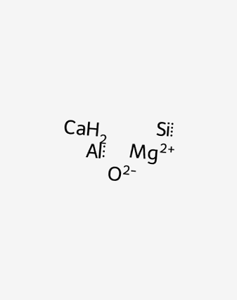 [Al].[CaH2].[Mg+2].[O-2].[Si]